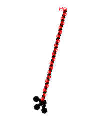 OCCOCCOCCOCCOCCOCCOCCOCCOCCOCCOCCOCCOCCOCCOCCOCCOCCOCCOCCOCCOc1ccc(C=Cc2ccccc2)c(C=Cc2ccccc2)c1C=Cc1ccccc1